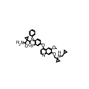 COc1cc2c(Oc3ccc(N(C(=O)C4(C(N)=O)CC4)c4ccccc4)c(F)c3)ccnc2cc1OCC1(NCC2CC2)CC1